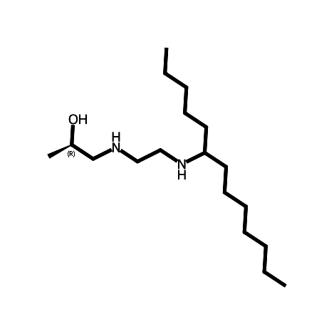 CCCCCCCC(CCCCC)NCCNC[C@@H](C)O